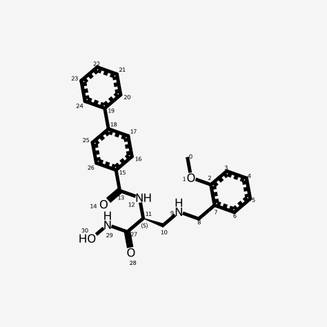 COc1ccccc1CNC[C@H](NC(=O)c1ccc(-c2ccccc2)cc1)C(=O)NO